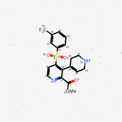 COC(=O)c1nccc(S(=O)(=O)c2cccc(C(F)(F)F)c2)c1C1=CCNCC1